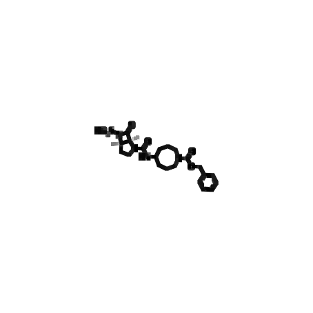 C[C@@]12CCN(C(=O)NC3CCCN(C(=O)OCc4ccccc4)CCC3)[C@]1(C)C(=O)N2S(=O)(=O)O